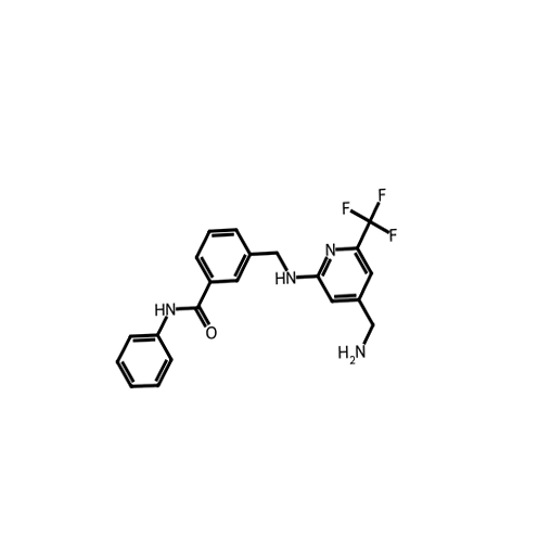 NCc1cc(NCc2cccc(C(=O)Nc3ccccc3)c2)nc(C(F)(F)F)c1